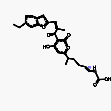 CCc1ccc2cc(C=C(C)C(=O)c3c(O)cc(C(C)CC/C=C/NC(=O)O)oc3=O)oc2c1